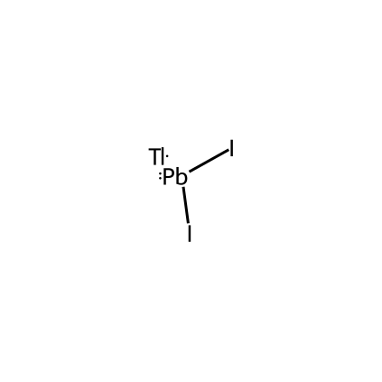 [I][Pb][I].[Tl]